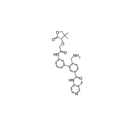 CC1(C)COC(=O)C1OCC(=O)Nc1cccc(-c2cc(C(=O)Nc3ccncc3F)ccc2CN)c1